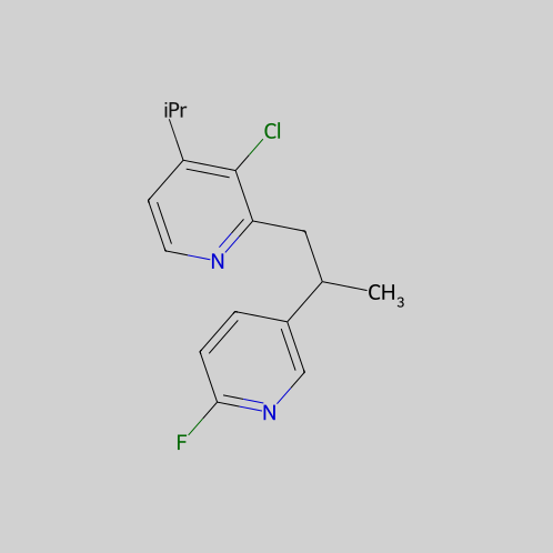 CC(C)c1ccnc(CC(C)c2ccc(F)nc2)c1Cl